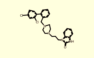 O=c1[nH]c2ccccc2n1CCCN1CCN(Cc2ccccc2-c2ccc(Cl)cc2Cl)CC1